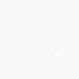 CCCCC(CC)(C(=O)C(CC)(CCCC)[Si](OC)(OC)OC)[Si](OC)(OC)OC